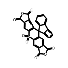 O=C1OC(=O)c2cc3c(cc21)C1(c2ccccc2-c2ccccc21)c1cc2c(cc1S3(=O)=O)C(=O)OC2=O